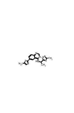 Cc1noc(C(C)Nc2ncnc3ccc(-c4ncc(C)s4)cc23)n1